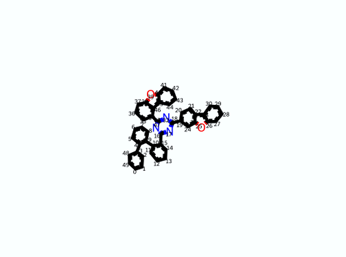 c1ccc(-c2ccccc2-c2ccccc2-c2nc(-c3ccc4c(c3)oc3ccccc34)nc(-c3cccc4oc5ccccc5c34)n2)cc1